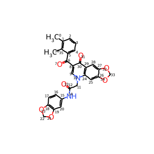 Cc1cccc(C(=O)c2cn(CC(=O)Nc3ccc4c(c3)OCO4)c3cc4c(cc3c2=O)OCO4)c1C